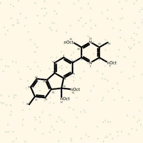 CCCCCCCCc1nc(-c2ccc3c(c2)C(CCCCCCCC)(CCCCCCCC)c2cc(C)ccc2-3)c(CCCCCCCC)nc1C